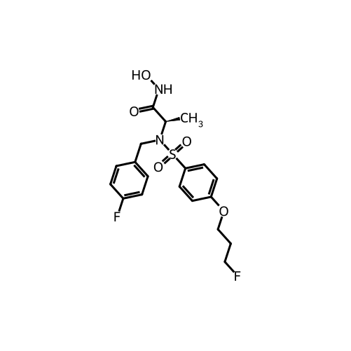 C[C@H](C(=O)NO)N(Cc1ccc(F)cc1)S(=O)(=O)c1ccc(OCCCF)cc1